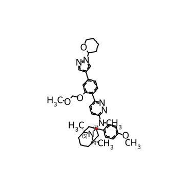 COCOc1cc(-c2cnn(C3CCCCO3)c2)ccc1-c1ccc(N(C)[C@H]2C[C@]3(C)CCC[C@](C)(C2)N3Cc2ccc(OC)cc2)nn1